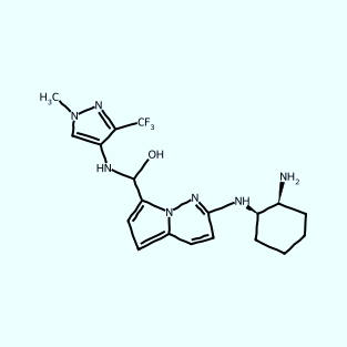 Cn1cc(NC(O)c2ccc3ccc(N[C@@H]4CCCC[C@@H]4N)nn23)c(C(F)(F)F)n1